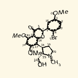 COc1ccc(Br)c(-c2cc(=O)c3c(OC)cc(OC)c([C@H]4CCN(C)[C@@H]4CO)c3o2)c1